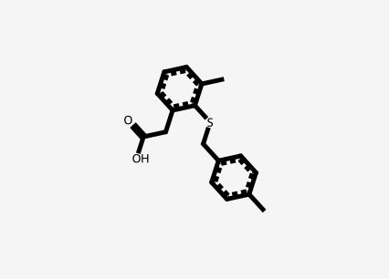 Cc1ccc(CSc2c(C)cccc2CC(=O)O)cc1